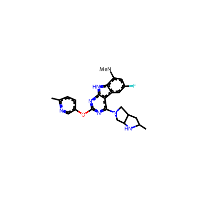 CNc1cc(F)cc2c1[nH]c1nc(Oc3ccc(C)nc3)nc(N3CC4CC(C)NC4C3)c12